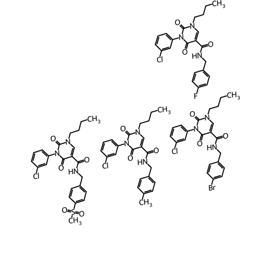 CCCCn1cc(C(=O)NCc2ccc(Br)cc2)c(=O)n(-c2cccc(Cl)c2)c1=O.CCCCn1cc(C(=O)NCc2ccc(C)cc2)c(=O)n(-c2cccc(Cl)c2)c1=O.CCCCn1cc(C(=O)NCc2ccc(F)cc2)c(=O)n(-c2cccc(Cl)c2)c1=O.CCCCn1cc(C(=O)NCc2ccc(S(C)(=O)=O)cc2)c(=O)n(-c2cccc(Cl)c2)c1=O